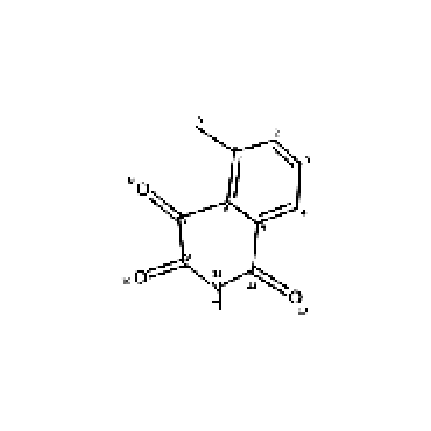 Cc1cccc2c1C(=O)C(=O)NC2=O